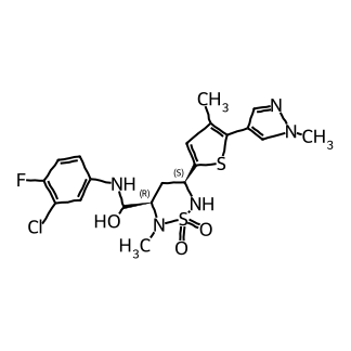 Cc1cc([C@@H]2C[C@H](C(O)Nc3ccc(F)c(Cl)c3)N(C)S(=O)(=O)N2)sc1-c1cnn(C)c1